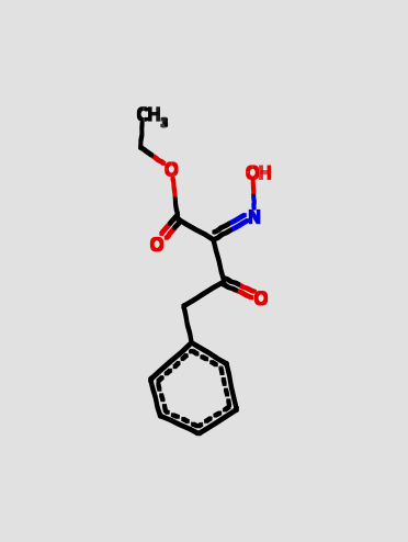 CCOC(=O)/C(=N\O)C(=O)Cc1ccccc1